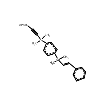 CCCCCC#C[Si](C)(C)c1ccc([Si](C)(C)C=Cc2ccccc2)cc1